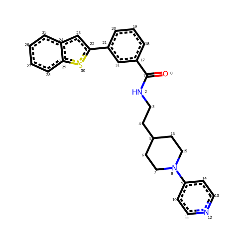 O=C(NCCC1CCN(c2ccncc2)CC1)c1cccc(-c2cc3ccccc3s2)c1